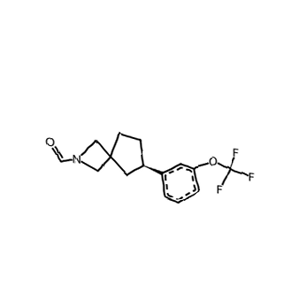 O=CN1CC2(CC[C@@H](c3cccc(OC(F)(F)F)c3)C2)C1